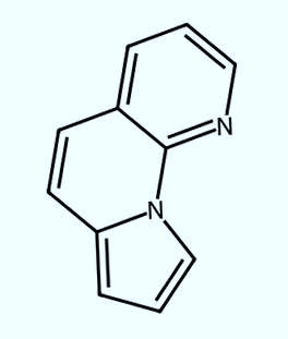 c1cnc2c(c1)ccc1cccn12